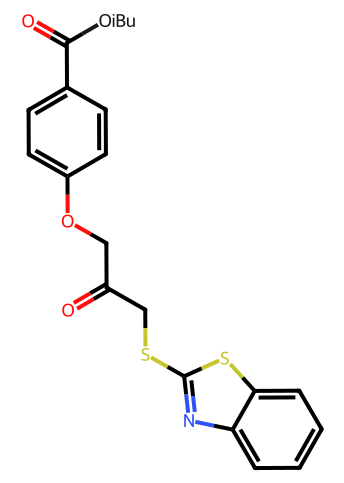 CC(C)COC(=O)c1ccc(OCC(=O)CSc2nc3ccccc3s2)cc1